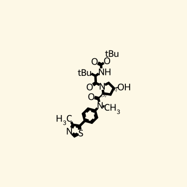 Cc1ncsc1-c1ccc(N(C)C(=O)[C@@H]2C[C@@H](O)CN2C(=O)C(NC(=O)OC(C)(C)C)C(C)(C)C)cc1